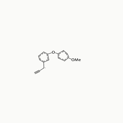 C#C[CH]c1cccc(Oc2ccc(OC)cc2)c1